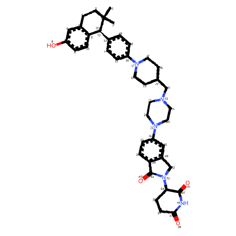 CC1(C)CCc2cc(O)ccc2[C@@H]1c1ccc(N2CCC(CN3CCN(c4ccc5c(c4)CN(C4CCC(=O)NC4=O)C5=O)CC3)CC2)cc1